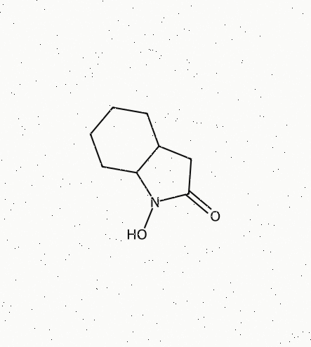 O=C1CC2CCCCC2N1O